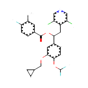 COc1cc(C(=O)OC(Cc2c(Cl)cncc2Cl)c2ccc(OC(F)F)c(OCC3CC3)c2)ccc1F